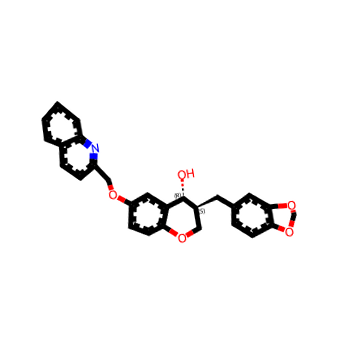 O[C@H]1c2cc(OCc3ccc4ccccc4n3)ccc2OC[C@@H]1Cc1ccc2c(c1)OCO2